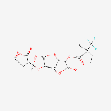 CCC(C)(C(=O)OC1C(=O)OC2C3OC(C)(C4CCOC4=O)OC3OC12)C(F)(F)F